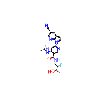 CC(C)Nc1cc(-n2ccc3cc(C#N)cnc32)ncc1C(=O)NCC(F)C(C)O